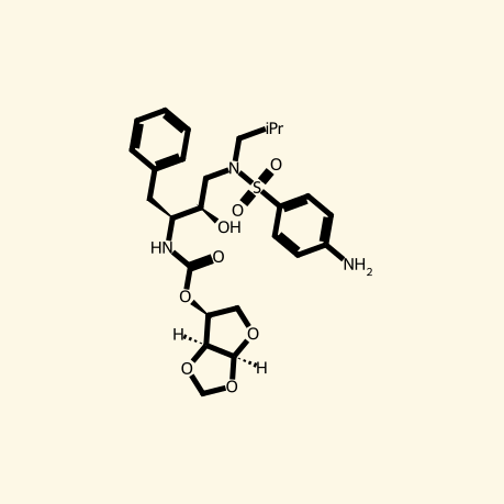 CC(C)CN(C[C@@H](O)[C@H](Cc1ccccc1)NC(=O)O[C@H]1CO[C@H]2OCO[C@H]21)S(=O)(=O)c1ccc(N)cc1